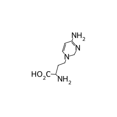 NC1=NCN(CCC(N)C(=O)O)C=C1